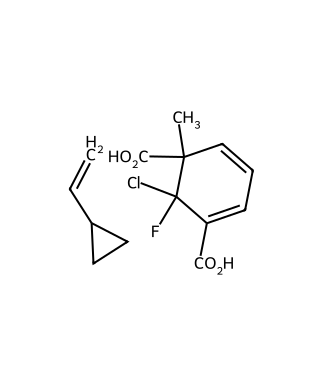 C=CC1CC1.CC1(C(=O)O)C=CC=C(C(=O)O)C1(F)Cl